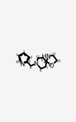 c1ccc(CN2CCC3(CC2)NCCO3)nc1